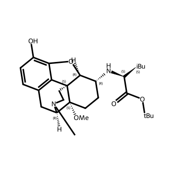 CC[C@H](C)[C@H](N[C@@H]1CC[C@@]2(OC)[C@H]3Cc4ccc(O)c5c4[C@@]2(CCN3C)[C@H]1O5)C(=O)OC(C)(C)C